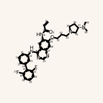 C=CC(=O)Nc1cc2c(Nc3cccc(-c4c(F)cccc4F)c3)ncnc2cc1OCCCN1CC[C@H](N(C)C)C1